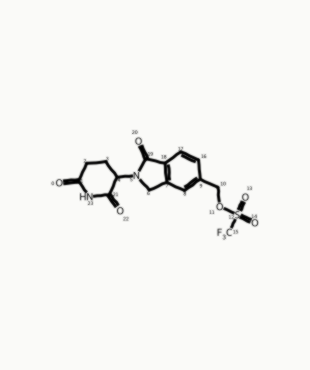 O=C1CCC(N2Cc3cc(COS(=O)(=O)C(F)(F)F)ccc3C2=O)C(=O)N1